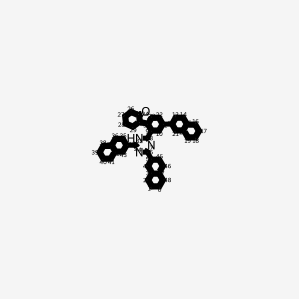 c1ccc2cc(C3=NC(c4cc(-c5ccc6ccccc6c5)cc5oc6ccccc6c45)NC(c4ccc5ccccc5c4)=N3)ccc2c1